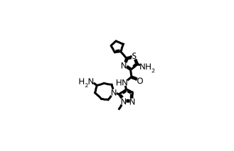 Cn1ncc(NC(=O)c2nc(C3=CCCC3)sc2N)c1N1CCCC(N)CC1